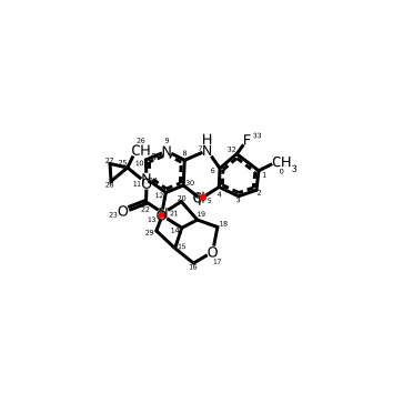 Cc1ccc(Cl)c(Nc2ncnc(OC3C4COCC3CN(C(=O)OC3(C)CC3)C4)c2F)c1F